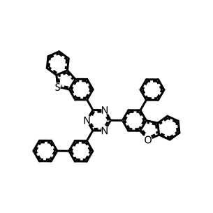 c1ccc(-c2cccc(-c3nc(-c4cc(-c5ccccc5)c5c(c4)oc4ccccc45)nc(-c4ccc5c(c4)sc4ccccc45)n3)c2)cc1